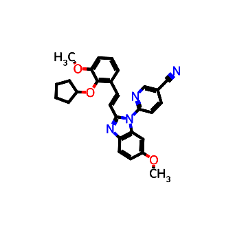 COc1ccc2nc(/C=C/c3cccc(OC)c3OC3CCCC3)n(-c3ccc(C#N)cn3)c2c1